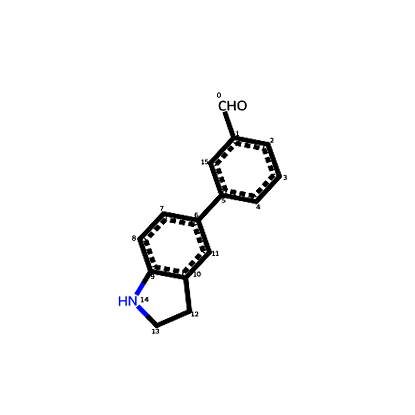 O=Cc1cccc(-c2ccc3c(c2)CCN3)c1